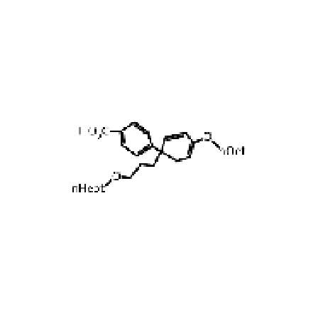 CCCCCCCCOC1=CCC(CCCOCCCCCCC)(c2ccc(C(=O)O)cc2)C=C1